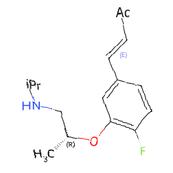 CC(=O)/C=C/c1ccc(F)c(O[C@H](C)CNC(C)C)c1